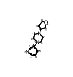 c1cncc(N2CCN(C3CCOC3)CC2)c1